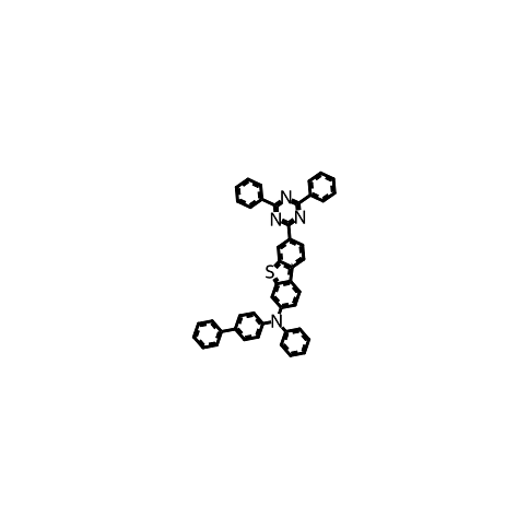 c1ccc(-c2ccc(N(c3ccccc3)c3ccc4c(c3)sc3cc(-c5nc(-c6ccccc6)nc(-c6ccccc6)n5)ccc34)cc2)cc1